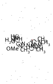 COc1cc(C(=O)N2[C@H]3CC[C@@H]2[C@H](N)C3)cc2nc(-c3cc4ccc([C@@H](C)NC(=O)N(C)C(C)c5cccnc5)nc4n3CC3CC3)c(C)n12